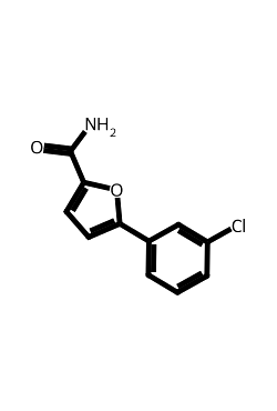 NC(=O)c1ccc(-c2cccc(Cl)c2)o1